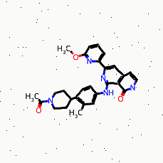 COc1cccc(-c2cc3c(c(Nc4ccc(C5CCN(C(C)=O)CC5)c(C)c4)n2)C(=O)[N]C=C3)n1